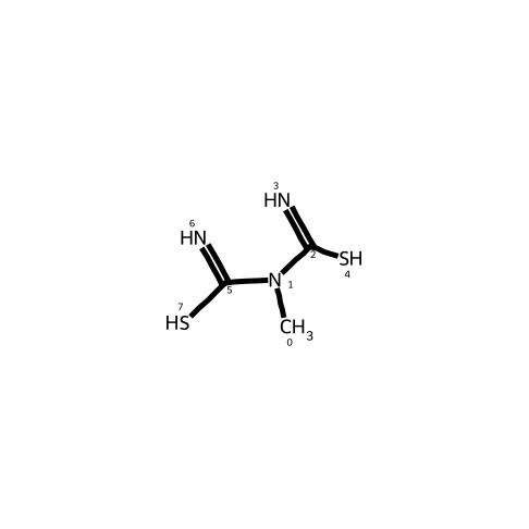 CN(C(=N)S)C(=N)S